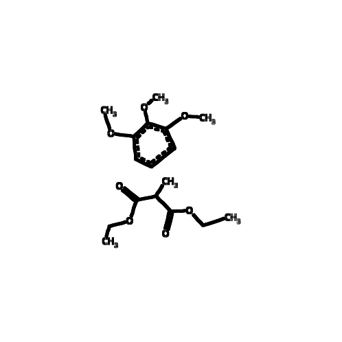 CCOC(=O)C(C)C(=O)OCC.COc1cccc(OC)c1OC